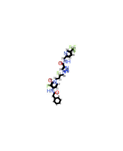 O=C(CC1CCCCC1)Nc1ccn(CCC(F)Cn2cc(C(=O)NCc3ccc(C(F)(F)F)cn3)nn2)c(=O)c1F